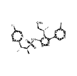 COC[C@H](C)n1c(NS(=O)(=O)[C@@H](C)[C@H](C)c2ncc(Cl)cn2)nnc1-c1cncc(C)c1